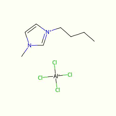 CCCC[n+]1ccn(C)c1.[Cl][Al-]([Cl])([Cl])[Cl]